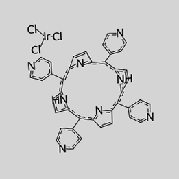 C1=Cc2nc1c(-c1ccncc1)c1ccc([nH]1)c(-c1ccncc1)c1nc(c(-c3ccncc3)c3ccc([nH]3)c2-c2ccncc2)C=C1.[Cl][Ir]([Cl])[Cl]